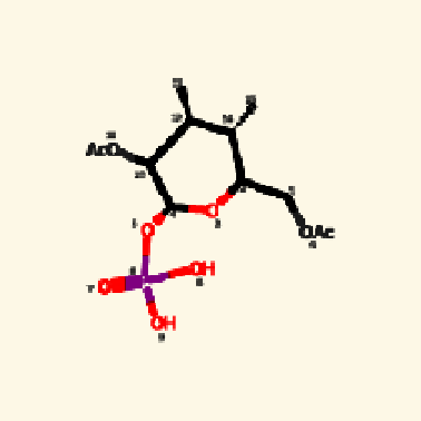 CC(=O)OCC1O[C@@H](OP(=O)(O)O)C(OC(C)=O)[C@@H](C)[C@@H]1C